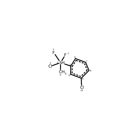 C[SH](F)(F)(Cl)c1cccc(Cl)c1